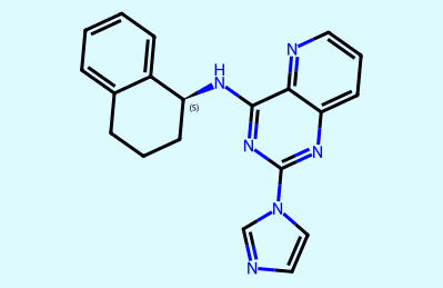 c1ccc2c(c1)CCC[C@@H]2Nc1nc(-n2ccnc2)nc2cccnc12